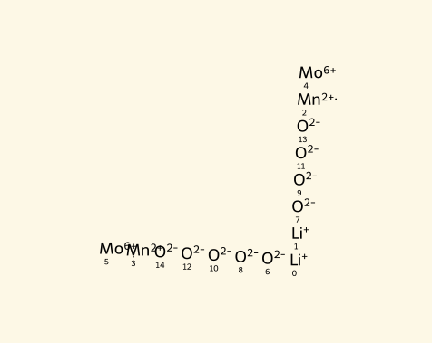 [Li+].[Li+].[Mn+2].[Mn+2].[Mo+6].[Mo+6].[O-2].[O-2].[O-2].[O-2].[O-2].[O-2].[O-2].[O-2].[O-2]